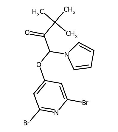 CC(C)(C)C(=O)C(Oc1cc(Br)nc(Br)c1)n1cccc1